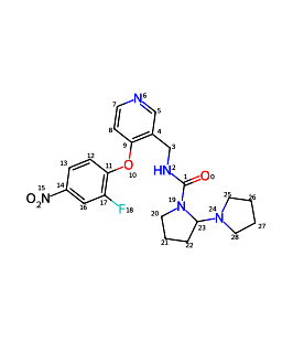 O=C(NCc1cnccc1Oc1ccc([N+](=O)[O-])cc1F)N1CCCC1N1CCCC1